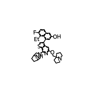 CCc1c(F)ccc2cc(O)cc(-c3csc4c(N5CC6CCC(C5)N6)nc(OCC56CCCN5CCC6)cc34)c12